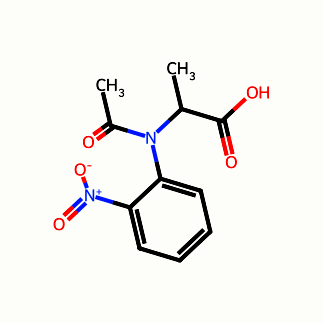 CC(=O)N(c1ccccc1[N+](=O)[O-])C(C)C(=O)O